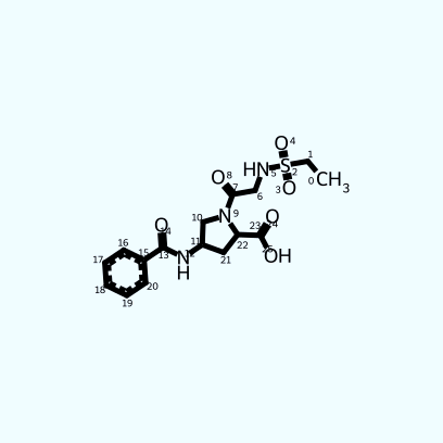 CCS(=O)(=O)NCC(=O)N1CC(NC(=O)c2ccccc2)CC1C(=O)O